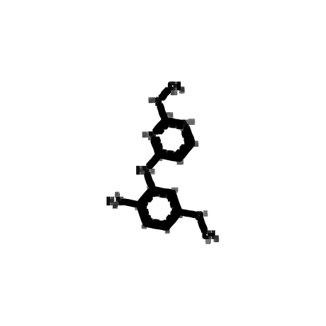 COc1ccc(N)c(Nc2ccnc(SC)n2)c1